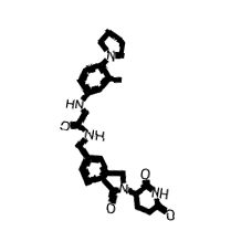 Cc1cc(NCC(=O)NCc2ccc3c(c2)CN(C2CCC(=O)NC2=O)C3=O)ccc1N1CCCC1